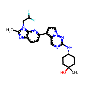 Cc1nc2ccc(-c3ccn4nc(N[C@H]5CC[C@@](C)(O)CC5)ncc34)nc2n1CC(F)F